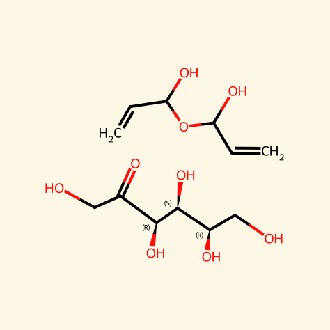 C=CC(O)OC(O)C=C.O=C(CO)[C@H](O)[C@@H](O)[C@H](O)CO